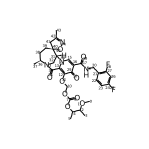 COC(C)C(C)OC(=O)OCOc1c2n(cc(C(=O)NCc3ccc(F)cc3F)c1=O)[C@@H]1CN(C2=O)[C@@H](C)CC[C@]12CC(C)=NO2